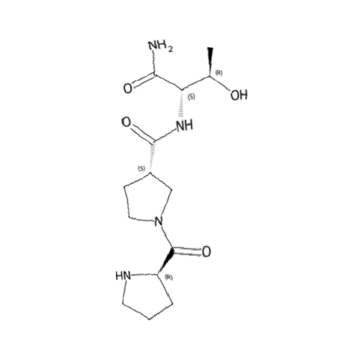 C[C@@H](O)[C@H](NC(=O)[C@H]1CCN(C(=O)[C@H]2CCCN2)C1)C(N)=O